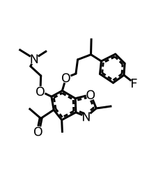 CC(=O)c1c(OCCN(C)C)c(OCCC(C)c2ccc(F)cc2)c2oc(C)nc2c1C